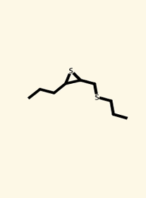 CCCSCC1SC1CCC